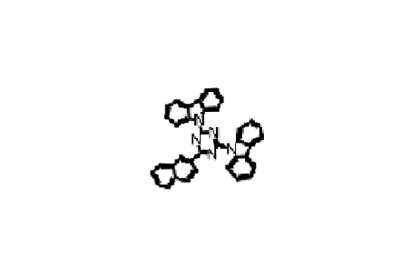 c1ccc2cc(-c3nc(-n4c5ccccc5c5ccccc54)nc(-n4c5ccccc5c5ccccc54)n3)ccc2c1